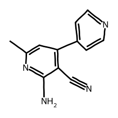 Cc1cc(-c2ccncc2)c(C#N)c(N)n1